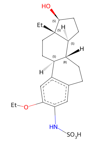 CCOc1cc2c(cc1NS(=O)(=O)O)CC[C@@H]1[C@@H]2CC[C@]2(CC)[C@@H](O)CC[C@@H]12